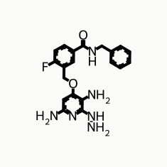 NNc1nc(N)cc(OCc2cc(C(=O)NCc3ccccc3)ccc2F)c1N